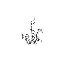 CC#Cc1nc(C)c([C@H](OC(C)(C)C)C(=O)O)c(N2CCC(C)(C)CC2)c1-c1ccc(OCCc2ccc(F)cc2)cc1